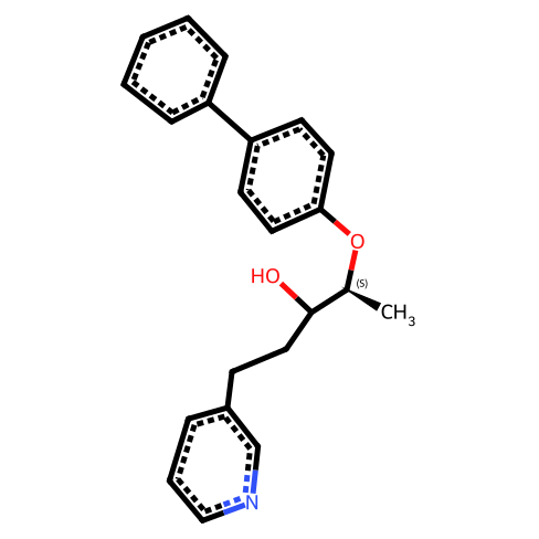 C[C@H](Oc1ccc(-c2ccccc2)cc1)C(O)CCc1cccnc1